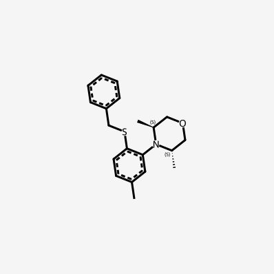 Cc1ccc(SCc2ccccc2)c(N2[C@@H](C)COC[C@@H]2C)c1